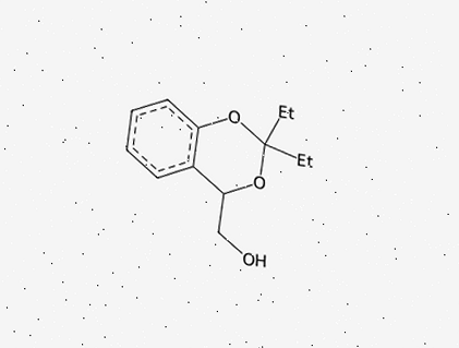 CCC1(CC)Oc2ccccc2C(CO)O1